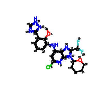 COc1c(Nc2cc(Cl)nc3c2nc(C(F)F)n3C2CCCCO2)cccc1-c1nc[nH]n1